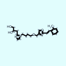 Cc1ccccc1C=Cc1nc(COCCCCn2ccnc2CC(O)CO)co1